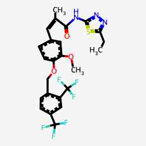 CCc1nnc(NC(=O)C(C)=Cc2ccc(OCc3ccc(C(F)(F)F)cc3C(F)(F)F)c(OC)c2)s1